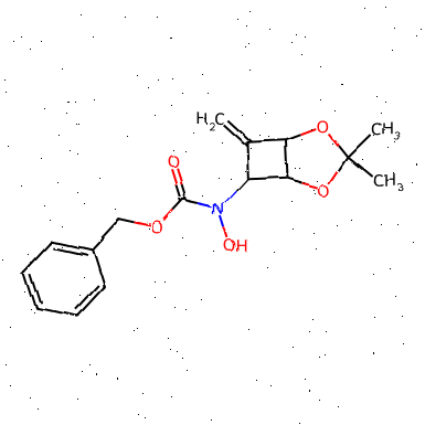 C=C1C2OC(C)(C)OC2C1N(O)C(=O)OCc1ccccc1